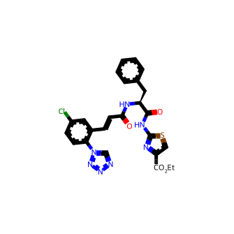 CCOC(=O)c1csc(NC(=O)[C@H](Cc2ccccc2)NC(=O)/C=C/c2cc(Cl)ccc2-n2cnnn2)n1